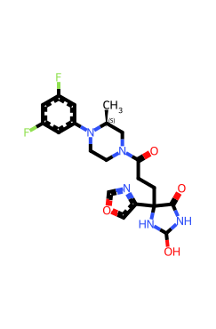 C[C@H]1CN(C(=O)CCC2(c3cocn3)NC(O)NC2=O)CCN1c1cc(F)cc(F)c1